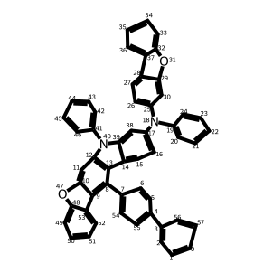 c1ccc(-c2ccc(-c3c4c(cc5c3c3ccc(N(c6ccccc6)c6ccc7c(c6)oc6ccccc67)cc3n5-c3ccccc3)oc3ccccc34)cc2)cc1